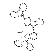 CC(C)C(C)(C)S(c1ccccc1)(c1ccccc1)c1cccc(-n2c3ccccc3c3cc(-n4c5ccccc5c5ccccc54)ccc32)c1